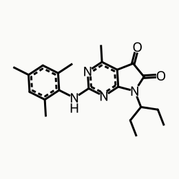 CCC(CC)N1C(=O)C(=O)c2c(C)nc(Nc3c(C)cc(C)cc3C)nc21